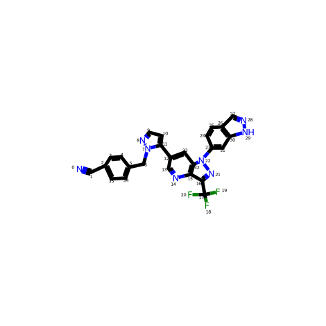 N#Cc1ccc(Cn2nccc2-c2cnc3c(C(F)(F)F)nn(-c4ccc5cn[nH]c5c4)c3c2)cc1